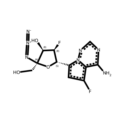 [N-]=[N+]=N[C@]1(CO)O[C@@H](c2cc(F)c3c(N)ncnn23)[C@H](F)[C@@H]1O